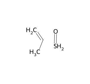 C=CC.O=[SH2]